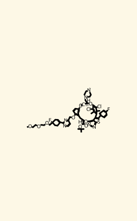 COCCOCCOC[C@]1(F)CC=C(c2nccc(COc3ccc4cc3C[C@H](C(=O)OC(C)(C)C)Oc3ncnc5sc(-c6ccc(F)cc6)c(c35)-c3c(C)c(Cl)c(c(Cl)c3C)O[C@H](CN3CCN(C)CC3)CO4)n2)CC1